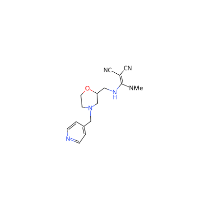 CNC(NCC1CN(Cc2ccncc2)CCO1)=C(C#N)C#N